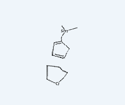 C1CCOC1.[CH3][Sm]([CH3])[C]1=CC=CC1